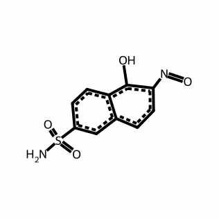 NS(=O)(=O)c1ccc2c(O)c(N=O)ccc2c1